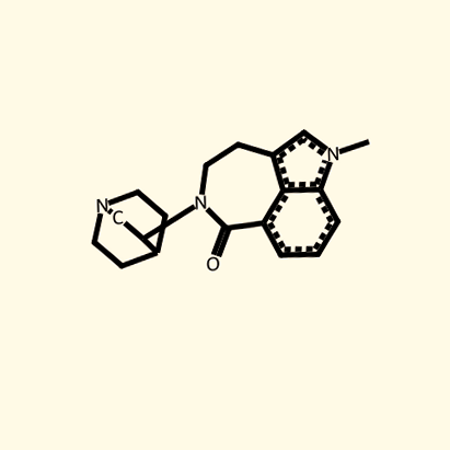 Cn1cc2c3c(cccc31)C(=O)N(C1CN3CCC1CC3)CC2